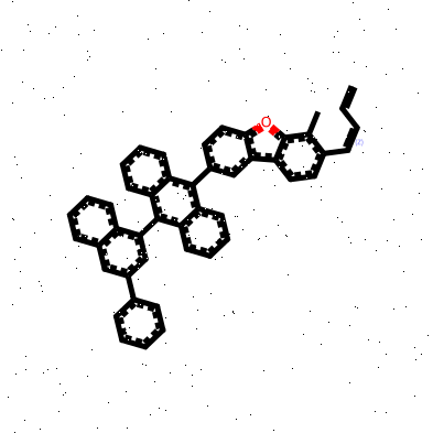 C=C/C=C\c1ccc2c(oc3ccc(-c4c5ccccc5c(-c5cc(-c6ccccc6)cc6ccccc56)c5ccccc45)cc32)c1C